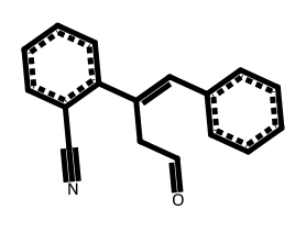 N#Cc1ccccc1C(=Cc1ccccc1)CC=O